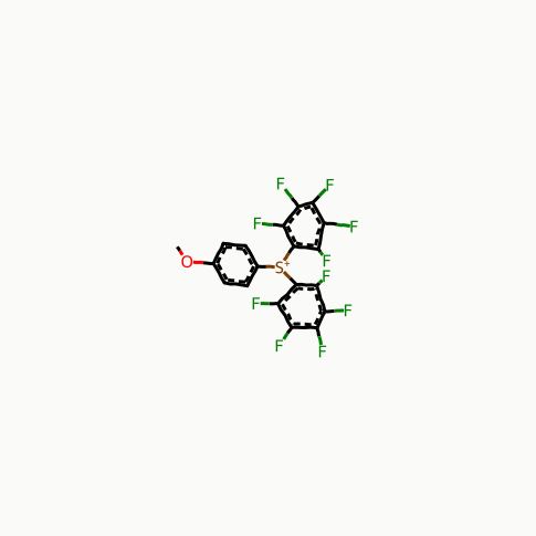 COc1ccc([S+](c2c(F)c(F)c(F)c(F)c2F)c2c(F)c(F)c(F)c(F)c2F)cc1